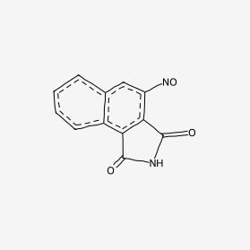 O=Nc1cc2ccccc2c2c1C(=O)NC2=O